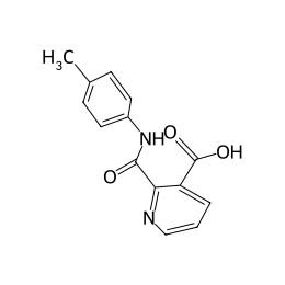 Cc1ccc(NC(=O)c2ncccc2C(=O)O)cc1